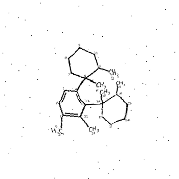 Cc1ccc(C2(C)CCCCC2C)c(C2(C)CCCCC2C)c1C